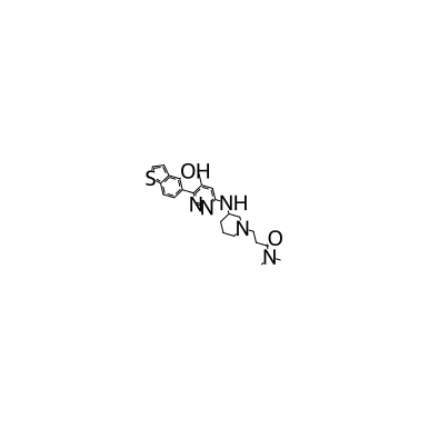 Cc1cc(NC2CCCN(CCC(=O)N(C)C)C2)nnc1-c1ccc2sccc2c1O